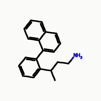 CC(CCN)c1ccccc1-c1cccc2ccccc12